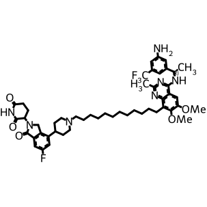 COc1cc2c(N[C@H](C)c3cc(N)cc(C(F)(F)F)c3)nc(C)nc2c(CCCCCCCCCCCCN2CCC(c3cc(F)cc4c3CN(C3CCC(=O)NC3=O)C4=O)CC2)c1OC